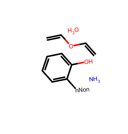 C=COC=C.CCCCCCCCCc1ccccc1O.N.O